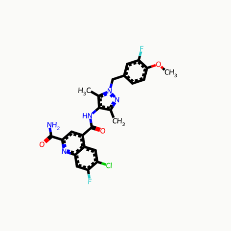 COc1ccc(Cn2nc(C)c(NC(=O)c3cc(C(N)=O)nc4cc(F)c(Cl)cc34)c2C)cc1F